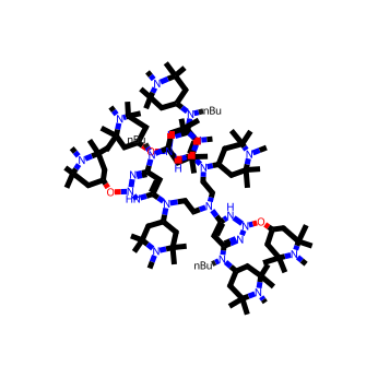 CCCCN(C1=NN(OC2CC(C)(C)N(C)C(C)(C)C2)NC(N(CCN(C2=CC(N(CCCC)C3CC(C)(C)N(C)C(C)(C)C3)=NN(OC3CC(C)(C)N(C)C(C)(C)C3)N2)C2CC(C)(C)N(C)C(C)(C)C2)CCN(C2=CC(N(CCCC)C3CC(C)(C)N(C)C(C)(C)C3)=NN(OC3CC(C)(C)N(C)C(C)(C)C3)N2)C2CC(C)(C)N(C)C(C)(C)C2)=C1)C1CC(C)(C)N(C)C(C)(C)C1